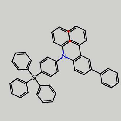 c1ccc(-c2ccc(N(c3ccccc3)c3ccc([Si](c4ccccc4)(c4ccccc4)c4ccccc4)cc3)c(-c3ccccc3)c2)cc1